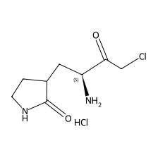 Cl.N[C@@H](CC1CCNC1=O)C(=O)CCl